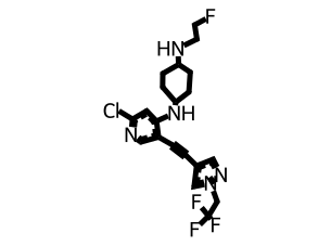 FCCNC1CCC(Nc2cc(Cl)ncc2C#Cc2cnn(CC(F)(F)F)c2)CC1